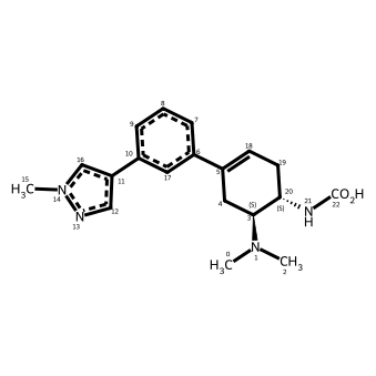 CN(C)[C@H]1CC(c2cccc(-c3cnn(C)c3)c2)=CC[C@@H]1NC(=O)O